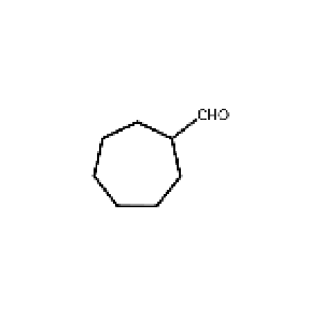 O=CC1[CH]CCCCC1